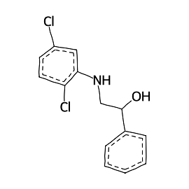 OC(CNc1cc(Cl)ccc1Cl)c1ccccc1